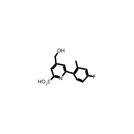 Cc1cc(F)ccc1-c1cc(CO)cc(C(=O)O)n1